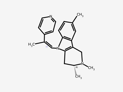 C/C(=C/n1c2c(c3cc(C)ccc31)CN(C)[C@H](C)C2)c1ccncc1